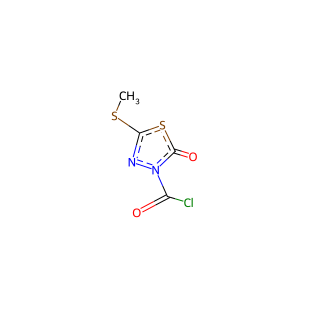 CSc1nn(C(=O)Cl)c(=O)s1